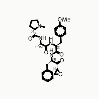 COc1ccc(C[C@H](NC(=O)[C@H](C)NC(=O)[C@@H]2CCCN2C)C(=O)N[C@@H](Cc2ccccc2)C(=O)[C@H]2CO2)cc1